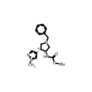 Cn1cc([C@@H]2CN(Cc3ccccc3)C[C@H]2NC(=O)OC(C)(C)C)cn1